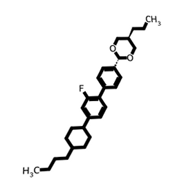 CCCCC1CCC(c2ccc(-c3ccc([C@H]4OC[C@H](CCC)CO4)cc3)c(F)c2)CC1